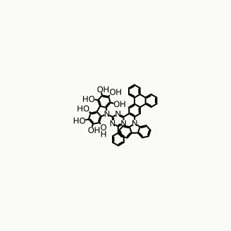 Oc1c(O)c(O)c2c(c1O)c1c(O)c(O)c(O)c(O)c1n2-c1nc(-c2ccccc2)nc(-c2cc3c4ccccc4c4ccccc4c3cc2-n2c3ccccc3c3ccccc32)n1